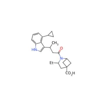 CCC1CC2(C(=O)O)CC(C2)N1C(=O)CC(C)c1c[nH]c2cccc(C3CC3)c12